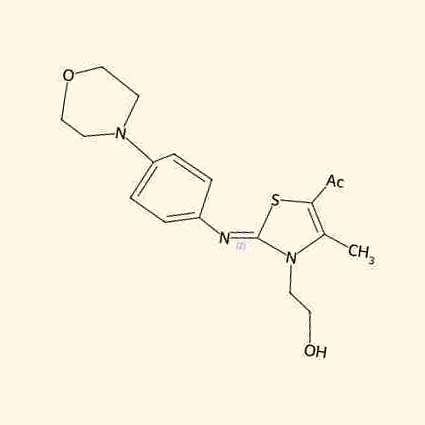 CC(=O)c1s/c(=N\c2ccc(N3CCOCC3)cc2)n(CCO)c1C